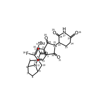 CC(C)(C)OC(=O)N1CC2CCC(C1)N2c1cc2c(cc1F)C(=O)N(C1CCC(=O)NC1=O)C2=O